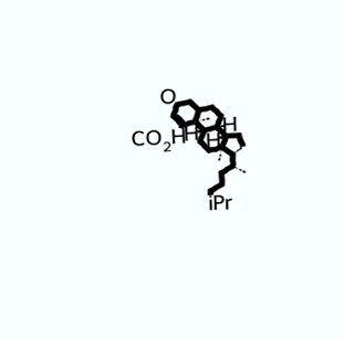 CC(C)CCC[C@@H](C)[C@H]1CC[C@H]2[C@@H]3CCC4CC(=O)C=C(C(=O)O)[C@]4(C)[C@H]3CC[C@]12C